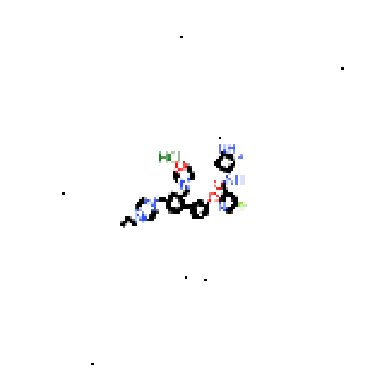 CCCN1CCN(Cc2ccc(-c3cccc(Oc4ncc(F)cc4C(=O)N[C@H]4CC[C@H](N)CC4)c3)c(CN3CCOCC3)c2)CC1.Cl